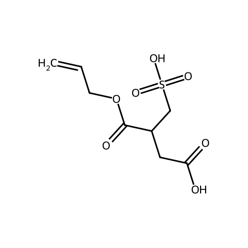 C=CCOC(=O)C(CC(=O)O)CS(=O)(=O)O